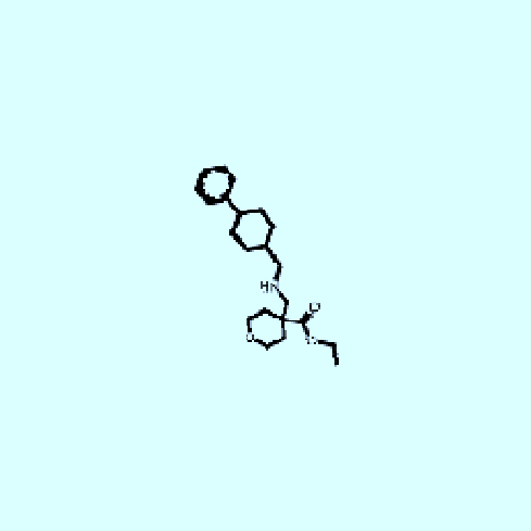 CCOC(=O)C1(CNCC2CCC(c3ccccc3)CC2)CCOCC1